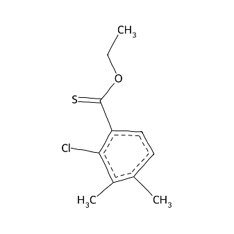 CCOC(=S)c1ccc(C)c(C)c1Cl